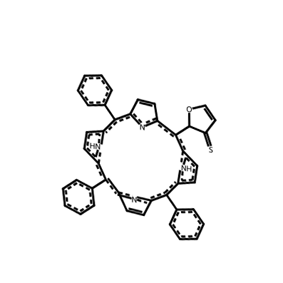 S=C1C=COC1c1c2nc(c(-c3ccccc3)c3ccc([nH]3)c(-c3ccccc3)c3nc(c(-c4ccccc4)c4ccc1[nH]4)C=C3)C=C2